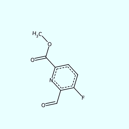 COC(=O)c1ccc(F)c(C=O)n1